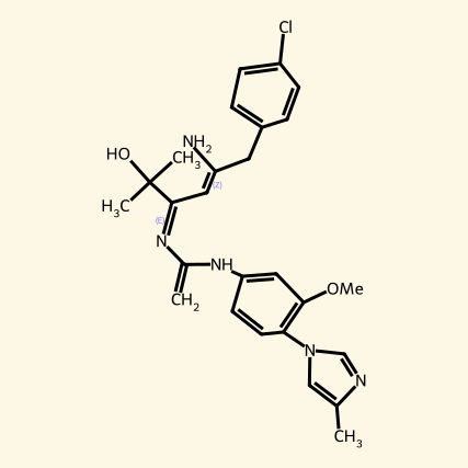 C=C(/N=C(\C=C(/N)Cc1ccc(Cl)cc1)C(C)(C)O)Nc1ccc(-n2cnc(C)c2)c(OC)c1